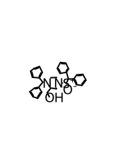 [O-][S+](C(c1ccccc1)c1ccccc1)N1CCN(C(c2ccccc2)c2ccccc2)C(CO)C1